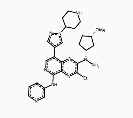 CCc1nc2c(Nc3cccnc3)ncc(-c3cnn(C4CCNCC4)c3)c2nc1N(N)[C@@H]1CC[C@H](OC)C1